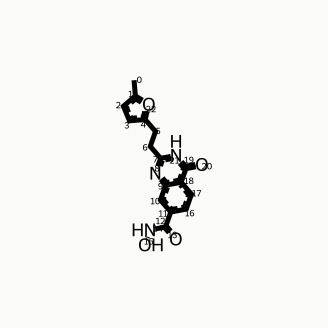 Cc1ccc(CCc2nc3cc(C(=O)NO)ccc3c(=O)[nH]2)o1